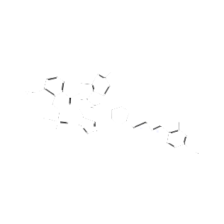 COc1cccc(C(=O)O[C@@](Cn2cncn2)(c2ccc(F)cc2F)[C@@H](C)S[C@H]2CO[C@H](/C=C/C=C/c3ccc(C#N)cc3F)OC2)c1COP(=O)(O)O